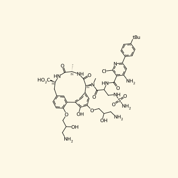 C[C@@H]1NC(=O)[C@@H](N(C)C(=O)C(CNS(N)(=O)=O)NC(=O)c2c(N)cc(-c3ccc(C(C)(C)C)cc3)nc2Cl)c2cc(OCC(O)CN)c(O)c(c2)-c2cc(ccc2OCC(O)CN)C[C@@H](C(=O)O)NC1=O